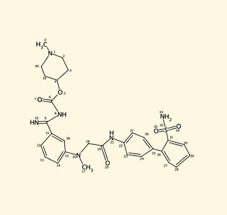 CN1CCC(OC(=O)NC(=N)c2cccc(N(C)CC(=O)Nc3ccc(-c4ccccc4S(N)(=O)=O)cc3)c2)CC1